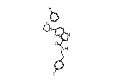 O=C(NCCc1ccc(F)cc1)c1cnc2ccc(N3CCC[C@@H]3c3cccc(F)c3)nn12